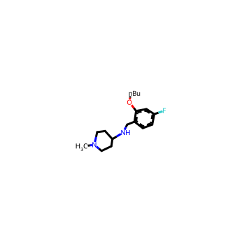 CCCCOc1cc(F)ccc1CNC1CCN(C)CC1